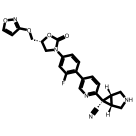 N#C[C@]1(c2ccc(-c3ccc(N4C[C@H](COc5ccon5)OC4=O)cc3F)cn2)[C@@H]2CNC[C@@H]21